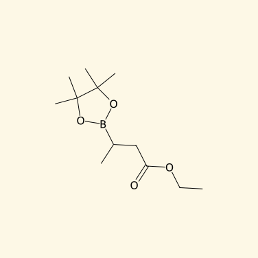 CCOC(=O)CC(C)B1OC(C)(C)C(C)(C)O1